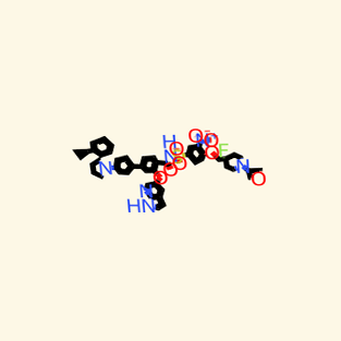 O=C(NS(=O)(=O)c1ccc(OCC2(F)CCN(C3COC3)CC2)c([N+](=O)[O-])c1)c1ccc(-c2ccc(N3CCC[C@H]3c3ccccc3C3CC3)cc2)cc1Oc1cnc2[nH]ccc2c1